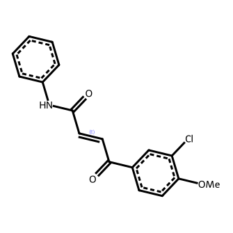 COc1ccc(C(=O)/C=C/C(=O)Nc2ccccc2)cc1Cl